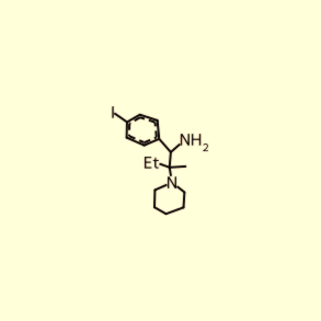 CCC(C)(C(N)c1ccc(I)cc1)N1CCCCC1